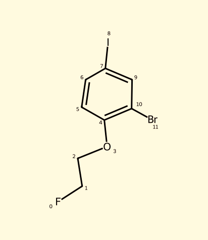 FCCOc1ccc(I)cc1Br